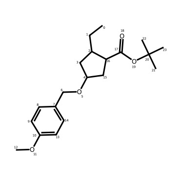 CCC1CC(OCc2ccc(OC)cc2)CC1C(=O)OC(C)(C)C